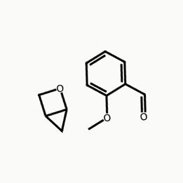 C1OC2CC12.COc1ccccc1C=O